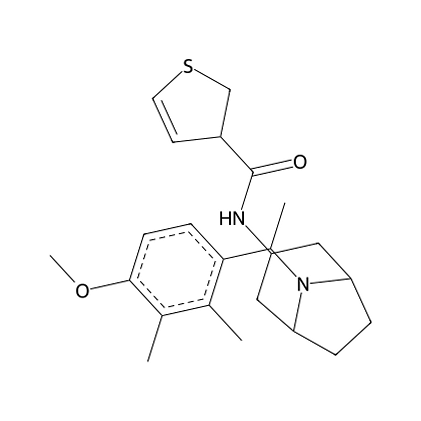 COc1ccc(C(C)N2C3CCC2CC(NC(=O)C2C=CSC2)C3)c(C)c1C